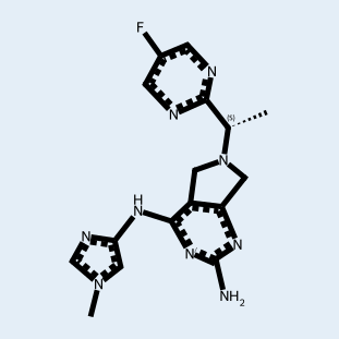 C[C@@H](c1ncc(F)cn1)N1Cc2nc(N)nc(Nc3cn(C)cn3)c2C1